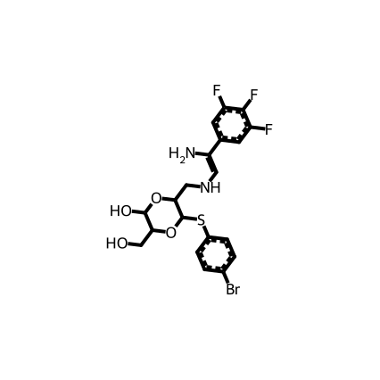 N/C(=C\NCC1OC(O)C(CO)OC1Sc1ccc(Br)cc1)c1cc(F)c(F)c(F)c1